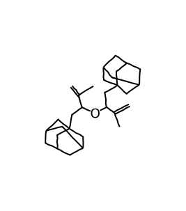 C=C(C)C(CC12CC3CC(CC(C3)C1)C2)OC(CC12CC3CC(CC(C3)C1)C2)C(=C)C